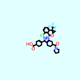 O=C(O)C1CC=C(c2nn(C(=O)c3c(Cl)cccc3C3(C(F)(F)F)CC3)c3c2CCC(C(=O)N2CCCC2)C3)CC1